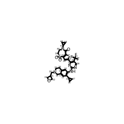 O=C1c2sc(-c3nc(Nc4cc5c(cc4C4CC4)CN(CC4COC4)CC5)ncc3C(F)(F)F)cc2S(=O)(=O)CCN1C1CC1